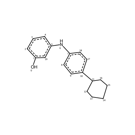 Oc1cccc(Nc2ccc(C3CCCCC3)cc2)c1